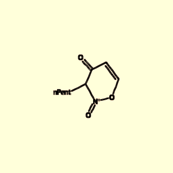 CCCCCC1C(=O)C=CO[N+]1=O